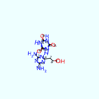 Nc1nc(N)nc(CCO)n1.O=c1[nH]c(=O)[nH]c(=O)[nH]1